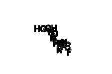 CN1C=C2C(=C(C3=CC4CN(CC(=O)N(C)CC(O)CO)CC4C3)C1)NN=C1C=Cc3cc(F)cc2c31